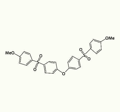 COc1ccc(S(=O)(=O)c2ccc(Oc3ccc(S(=O)(=O)c4ccc(OC)cc4)cc3)cc2)cc1